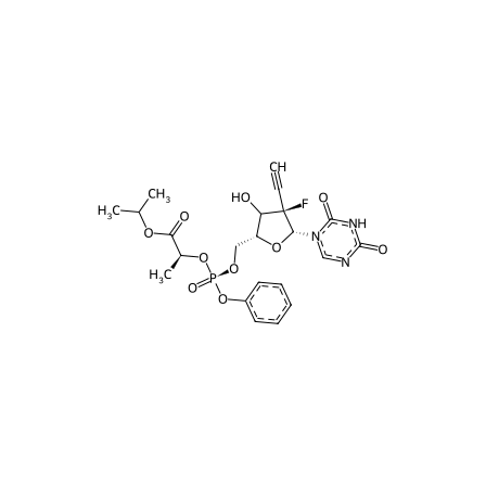 C#C[C@@]1(F)C(O)[C@@H](CO[P@](=O)(Oc2ccccc2)O[C@@H](C)C(=O)OC(C)C)O[C@H]1n1cnc(=O)[nH]c1=O